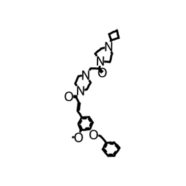 COc1cc(C=CC(=O)N2CCN(CC(=O)N3CCN(C4CCC4)CC3)CC2)ccc1OCc1ccccc1